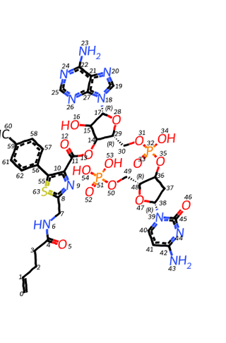 C=CCCC(=O)NCc1nc(C(=O)OC2C(O)[C@H](n3cnc4c(N)ncnc43)O[C@@H]2COP(=O)(O)OC2C[C@H](n3ccc(N)nc3=O)O[C@@H]2COP(=O)(O)O)c(-c2ccc(C#N)cc2)s1